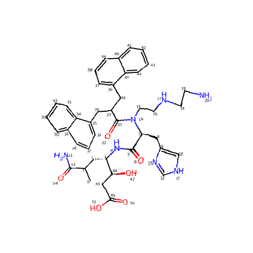 CC(C[C@H](NC(=O)[C@H](Cc1c[nH]cn1)N(CCNCCN)C(=O)C(Cc1cccc2ccccc12)Cc1cccc2ccccc12)[C@@H](O)CC(=O)O)C(N)=O